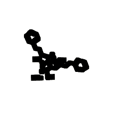 O=C(O)C(CCCCc1ccccc1)C(CCCCc1ccccc1)(C(=O)O)S(=O)(=O)O.[NaH]